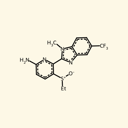 CC[S+]([O-])c1ccc(N)nc1-c1nc2cc(C(F)(F)F)ccc2n1C